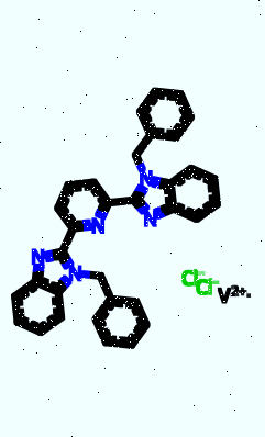 [Cl-].[Cl-].[V+2].c1ccc(Cn2c(-c3cccc(-c4nc5ccccc5n4Cc4ccccc4)n3)nc3ccccc32)cc1